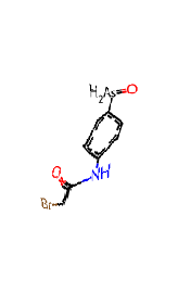 O=[AsH2]c1ccc(NC(=O)CBr)cc1